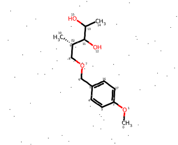 COc1ccc(COC[C@H](C)C(O)C(C)O)cc1